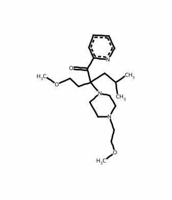 COCCN1CCN(C(CCOC)(CC(C)C)C(=O)c2ccccn2)CC1